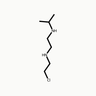 CC(C)NCCNCCCl